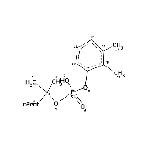 CCCCCC(C)(C)OP(=O)(O)Oc1cccc(C)c1C